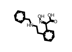 O=C(O)C(=NO)c1ccccc1CCNCc1ccccc1